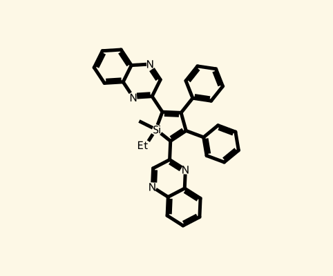 CC[Si]1(C)C(c2cnc3ccccc3n2)=C(c2ccccc2)C(c2ccccc2)=C1c1cnc2ccccc2n1